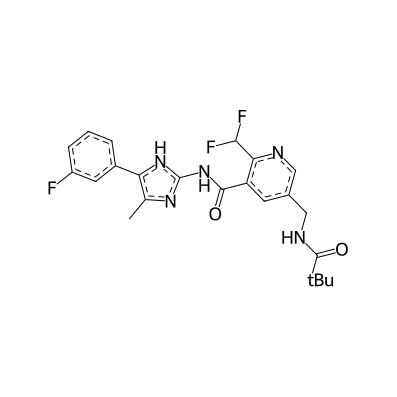 Cc1nc(NC(=O)c2cc(CNC(=O)C(C)(C)C)cnc2C(F)F)[nH]c1-c1cccc(F)c1